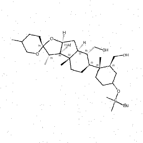 CC1CC[C@@]2(OC1)O[C@H]1C[C@H]3[C@H](CO)[C@@H]([C@@]4(C)CCC(O[Si](C)(C)C(C)(C)C)C[C@@H]4CO)CC[C@]3(C)[C@H]1[C@@H]2C